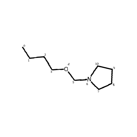 CCCCOCN1CCCC1